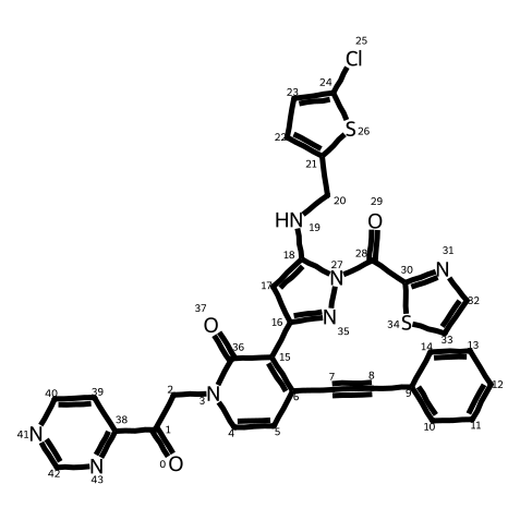 O=C(Cn1ccc(C#Cc2ccccc2)c(-c2cc(NCc3ccc(Cl)s3)n(C(=O)c3nccs3)n2)c1=O)c1ccncn1